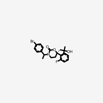 CC(c1ccc(Br)cc1)N1CC[C@](CC(C)(C)O)(c2ccccc2F)OC1=O